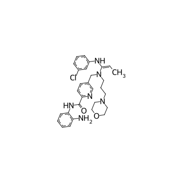 C/C=C(/Nc1cccc(Cl)c1)N(CCCN1CCOCC1)Cc1ccc(C(=O)Nc2ccccc2N)nc1